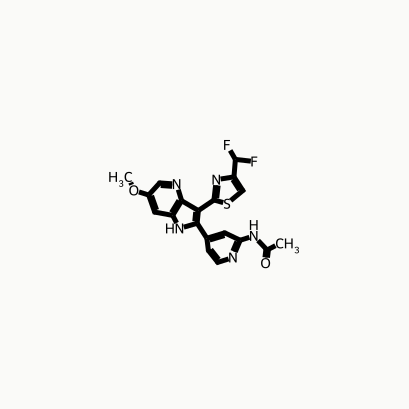 COc1cnc2c(-c3nc(C(F)F)cs3)c(-c3ccnc(NC(C)=O)c3)[nH]c2c1